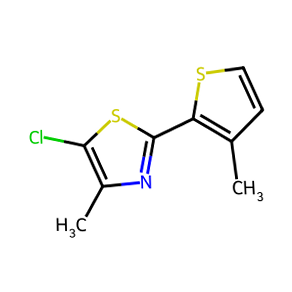 Cc1ccsc1-c1nc(C)c(Cl)s1